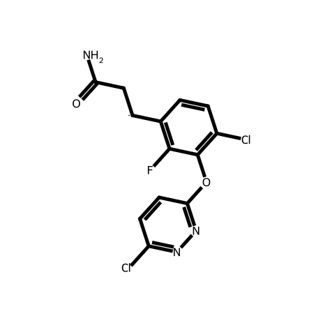 NC(=O)C[CH]c1ccc(Cl)c(Oc2ccc(Cl)nn2)c1F